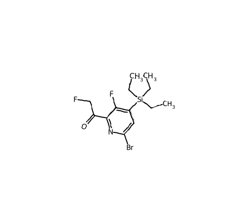 CC[Si](CC)(CC)c1cc(Br)nc(C(=O)CF)c1F